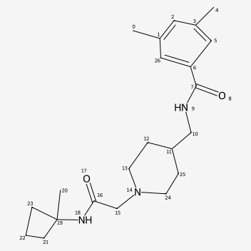 Cc1cc(C)cc(C(=O)NCC2CCN(CC(=O)NC3(C)CCC3)CC2)c1